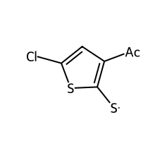 CC(=O)c1cc(Cl)sc1[S]